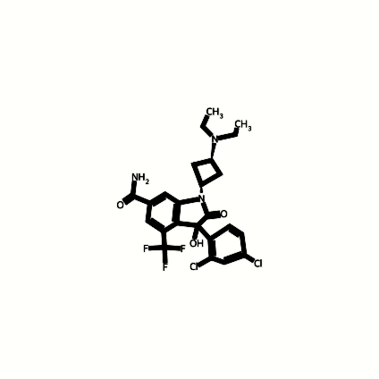 CCN(CC)[C@H]1C[C@H](N2C(=O)C(O)(c3ccc(Cl)cc3Cl)c3c2cc(C(N)=O)cc3C(F)(F)F)C1